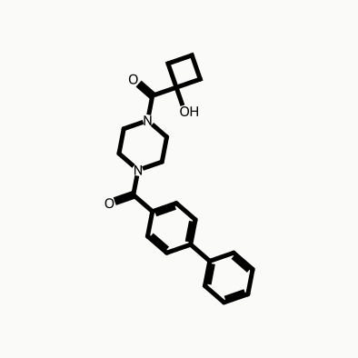 O=C(c1ccc(-c2ccccc2)cc1)N1CCN(C(=O)C2(O)CCC2)CC1